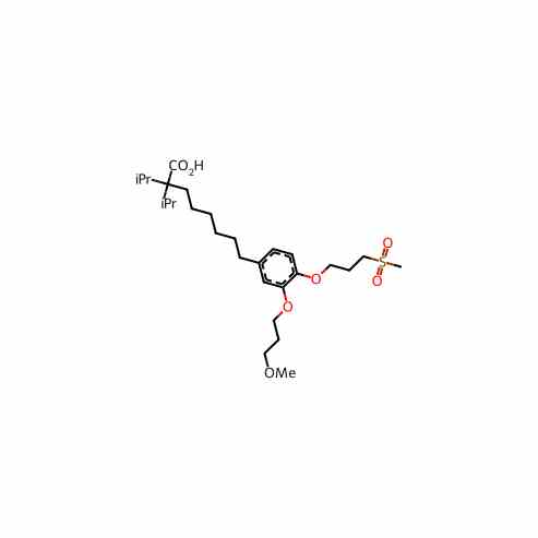 COCCCOc1cc(CCCCCCC(C(=O)O)(C(C)C)C(C)C)ccc1OCCCS(C)(=O)=O